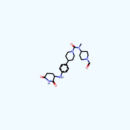 CN(C(=O)N1CCC(c2ccc(NC3CCC(=O)NC3=O)cc2)CC1)C1CCN(C=O)CC1